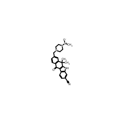 C[S+]([O-])N1CCN(Cc2ccc3c(c2)C(C)(C)c2[nH]c4cc(C#N)ccc4c2C3=O)CC1